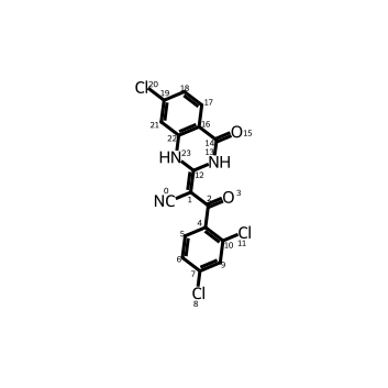 N#C/C(C(=O)c1ccc(Cl)cc1Cl)=C1/NC(=O)c2ccc(Cl)cc2N1